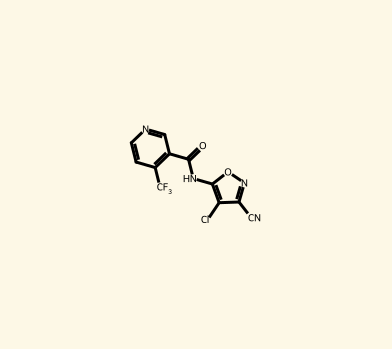 N#Cc1noc(NC(=O)c2cnccc2C(F)(F)F)c1Cl